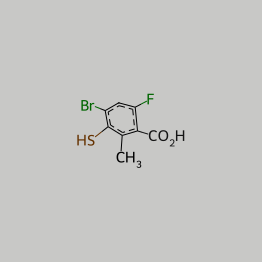 Cc1c(S)c(Br)cc(F)c1C(=O)O